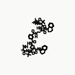 CN[C@@H](C)C(=O)N[C@H](C(=O)N[C@@H](CCNC(=O)c1cccc(C(=O)N[C@H]2C[C@@H](C(=O)N[C@@H]3CCCc4ccccc43)N(C(=O)[C@@H](NC(=O)[C@H](C)NC)C(C)(C)C)C2)c1)C(=O)N[C@@H]1CCCc2ccccc21)C(C)(C)C